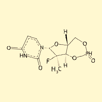 C[C@@]1(F)[C@@H]2O[PH](=O)OC[C@H]2O[C@H]1n1ccc(=O)[nH]c1=O